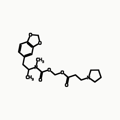 CC(Cc1ccc2c(c1)OCO2)N(C)C(=O)OCOC(=O)CCN1CCCC1